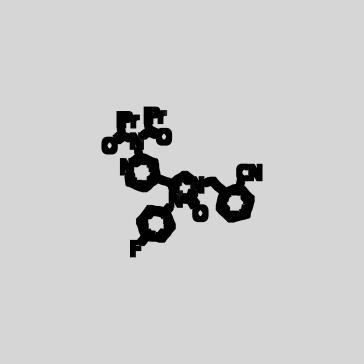 CC(C)C(=O)N(C(=O)C(C)C)c1cc(-c2cn(Cc3ccccc3C#N)c(=O)n2-c2ccc(F)cc2)ccn1